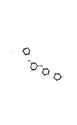 COc1ccc(NC(=O)c2cc(C(=O)O)cc(C(=O)c3ccc(N(C)c4ccc(Cl)cc4)cc3)c2)cc1OC